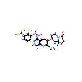 COc1nc2c(C)nnc(N[C@H](C)c3cccc(C(F)F)c3F)c2cc1N1CCN2C(=O)CC[C@@H]2C1